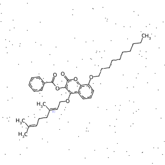 CCCCCCCCCCOc1cccc2c(OC/C=C(\C)CCC=C(C)C)c(OC(=O)c3ccccc3)c(=O)oc12